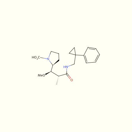 CO[C@H]([C@@H](C)C(=O)NCC1(c2ccccc2)CC1)[C@@H]1CCCN1C(=O)O